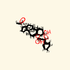 CC(=O)[C@H]1CC[C@H]2[C@@H]3CC=C4CC(O)(OC(C(=O)O)c5ccc(C)cc5)CC[C@]4(C)[C@H]3CC[C@]12C